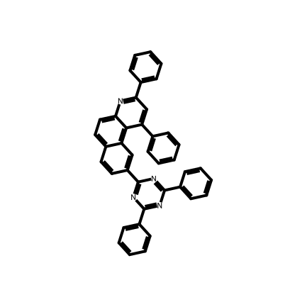 c1ccc(-c2cc(-c3ccccc3)c3c(ccc4ccc(-c5nc(-c6ccccc6)nc(-c6ccccc6)n5)cc43)n2)cc1